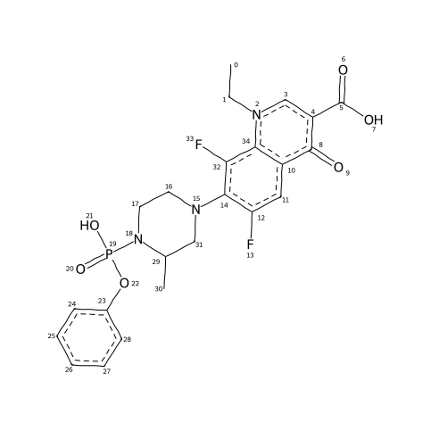 CCn1cc(C(=O)O)c(=O)c2cc(F)c(N3CCN(P(=O)(O)Oc4ccccc4)C(C)C3)c(F)c21